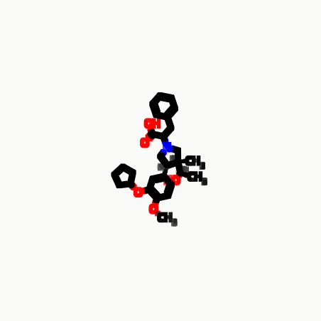 COc1ccc([C@@H]2CN(C(Cc3ccccc3)C(=O)O)C[C@@]2(C)[C@@H](C)O)cc1OC1CCCC1